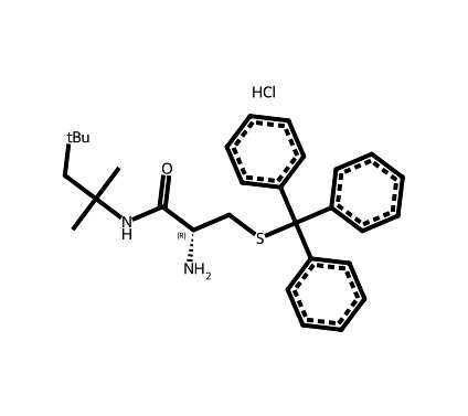 CC(C)(C)CC(C)(C)NC(=O)[C@@H](N)CSC(c1ccccc1)(c1ccccc1)c1ccccc1.Cl